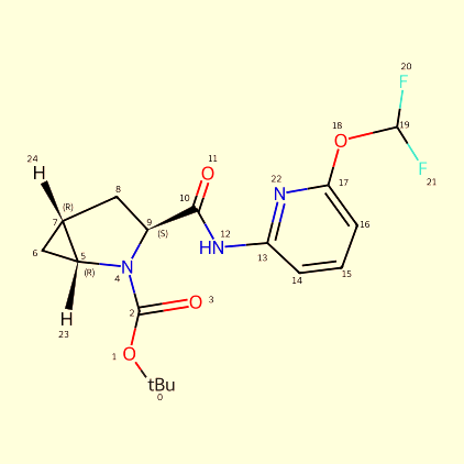 CC(C)(C)OC(=O)N1[C@@H]2C[C@@H]2C[C@H]1C(=O)Nc1cccc(OC(F)F)n1